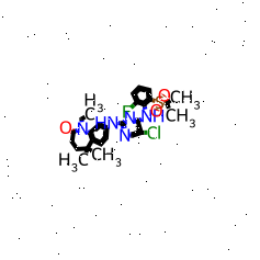 CCN1C(=O)CCC(C)(C)c2ccc(Nc3ncc(Cl)c(Nc4c(F)cccc4S(=O)(=O)C(C)C)n3)cc21